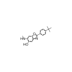 CNc1cc2oc(-c3ccc(C(C)(C)C)cc3)nc2cc1O